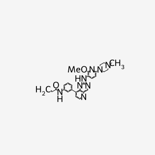 C=CC(=O)Nc1cccc(-c2ccnc3cnc(Nc4ccc(N5CCN(C)CC5)nc4OC)nc23)c1